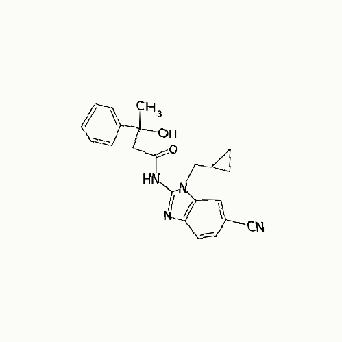 CC(O)(CC(=O)Nc1nc2ccc(C#N)cc2n1CC1CC1)c1ccccc1